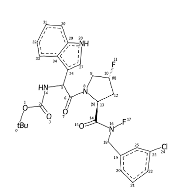 CC(C)(C)OC(=O)NC(C(=O)N1C[C@H](F)C[C@H]1C(=O)N(F)Cc1cccc(Cl)c1)c1c[nH]c2ccccc12